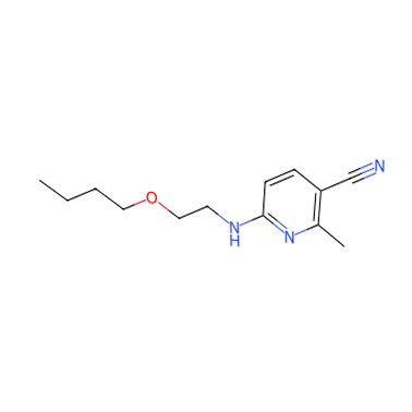 CCCCOCCNc1ccc(C#N)c(C)n1